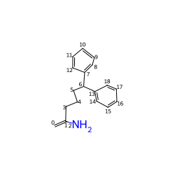 C=C(N)CCCC(c1ccccc1)c1ccccc1